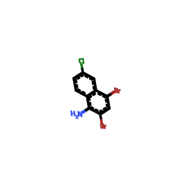 Nc1c(Br)cc(Br)c2cc(Cl)ccc12